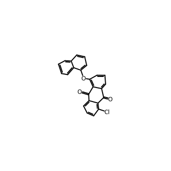 O=C1c2cccc(Oc3cccc4ccccc34)c2C(=O)c2cccc(Cl)c21